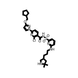 CC1(C)CC(CCCNc2cccc(S(=O)(=O)NC(=O)c3ccc(-n4ccc(OCC5CCCC5)n4)nc3Cl)n2)CN1